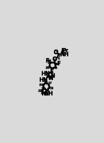 CC(C)NC(=O)COc1c(F)cc(-c2nnc(Nc3ccc4[nH]ncc4c3)[nH]2)cc1F